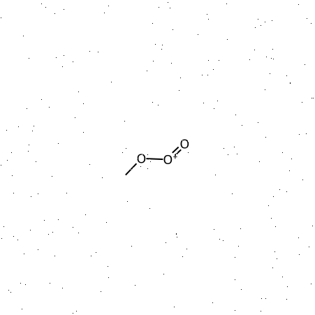 CO[O+]=O